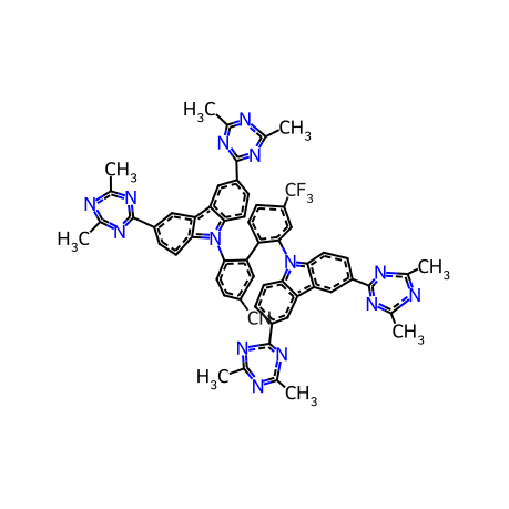 Cc1nc(C)nc(-c2ccc3c(c2)c2cc(-c4nc(C)nc(C)n4)ccc2n3-c2ccc(C#N)cc2-c2ccc(C(F)(F)F)cc2-n2c3ccc(-c4nc(C)nc(C)n4)cc3c3cc(-c4nc(C)nc(C)n4)ccc32)n1